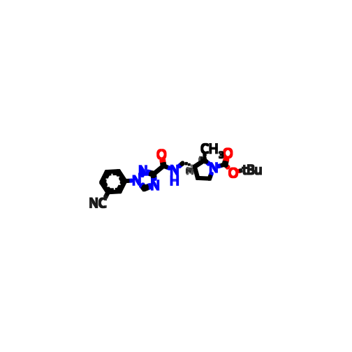 C[C@@H]1[C@@H](CNC(=O)c2ncn(-c3cccc(C#N)c3)n2)CCN1C(=O)OC(C)(C)C